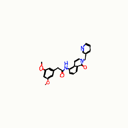 COc1cc(CC(=O)Nc2cccc3c(=O)n(Cc4cccnc4)ccc23)cc(OC)c1